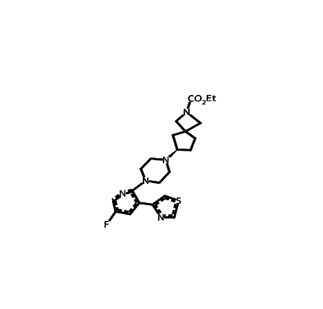 CCOC(=O)N1CC2(CC[C@@H](N3CCN(c4ncc(F)cc4-c4cscn4)CC3)C2)C1